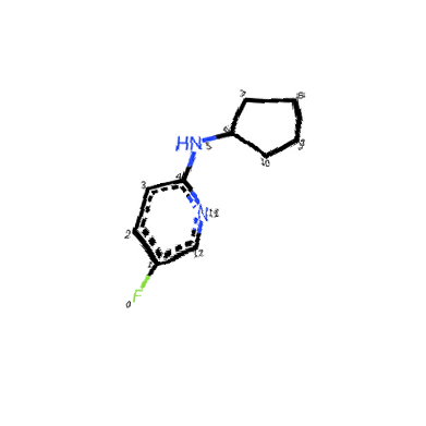 Fc1ccc(NC2CCCC2)nc1